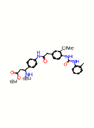 CCCCNC(CC(=O)OC(C)(C)C)c1ccc(NC(=O)Cc2ccc(NC(=O)Nc3ccccc3C)c(OC)c2)cc1